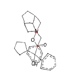 O=C(OCC1C2CCC1CN(Cc1ccccc1)C2)C(O)(c1ccccc1)C1CCCC1